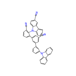 N#Cc1cc(-c2cccc(-n3c4ccccc4c4ccccc43)c2)cc(-c2cccc(C#N)c2-n2c3ccccc3c3cc(C#N)ccc32)c1